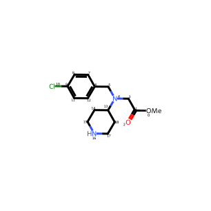 COC(=O)CN(Cc1ccc(Cl)cc1)C1CCNCC1